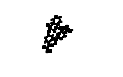 O=C(O)Nc1ccc(F)cc1Nc1ncc([N+](=O)[O-])c(NC2CCC(=O)c3ccccc32)n1